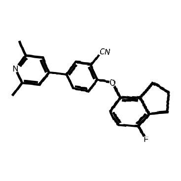 Cc1cc(-c2ccc(Oc3ccc(F)c4c3CCC4)c(C#N)c2)cc(C)n1